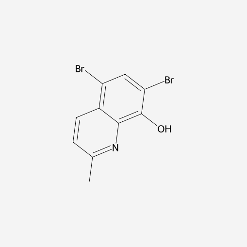 Cc1ccc2c(Br)cc(Br)c(O)c2n1